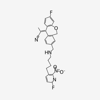 CC(C#N)=C1c2ccc(CNCCCCc3ccc(F)nc3[N+](=O)[O-])cc2COc2cc(F)ccc21